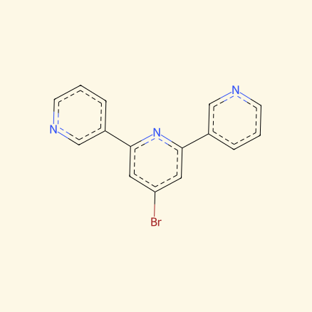 Brc1cc(-c2cccnc2)nc(-c2cccnc2)c1